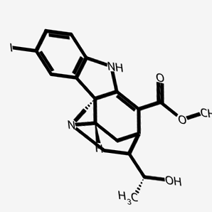 COC(=O)C1=C2Nc3ccc(I)cc3[C@@]23CCN2CC([C@@H](C)O)C1C[C@H]23